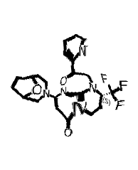 O=C(CN1c2nc(N3CC4CCC(C3)O4)cc(=O)n2CC[C@H]1C(F)(F)F)c1ccccn1